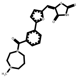 CN1CCCN(C(=O)c2cccc(-c3ccc(C=C4SC(=S)NC4=O)o3)c2)CC1